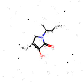 COC[C@H](C)N1CC(C(=O)O)=C(O)C1=O